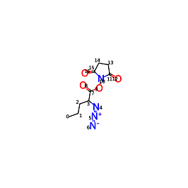 CCCC(N=[N+]=[N-])C(=O)ON1C(=O)CCC1=O